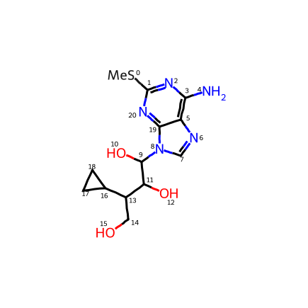 CSc1nc(N)c2ncn(C(O)C(O)C(CO)C3CC3)c2n1